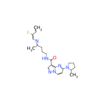 C=C/C(F)=C\N=C(/C)CCCNC(=O)c1cnn2ccc(N3CCCC3C)nc12